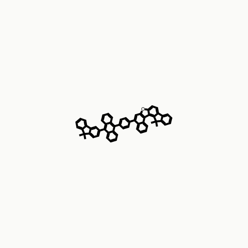 CC1(C)c2ccccc2-c2cc(-c3c4ccccc4c(-c4ccc(-c5cc6oc7ccc8c(c7c6c6ccccc56)C(C)(C)c5ccccc5-8)cc4)c4ccccc34)ccc21